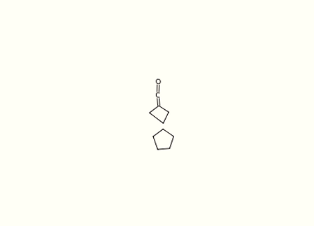 C1CCCC1.O=C=C1CCC1